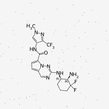 Cn1cc(NC(=O)c2ccc3cnc(N[C@@H]4CCCC(F)(F)[C@@H]4N)nn23)c(C(F)(F)F)n1